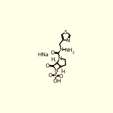 NN(Cc1cscn1)C(=O)N1CC[C@@H]2[C@H]1C(=O)N2S(=O)(=O)O.[NaH]